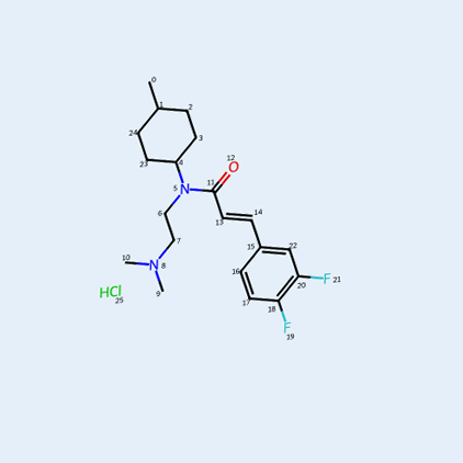 CC1CCC(N(CCN(C)C)C(=O)C=Cc2ccc(F)c(F)c2)CC1.Cl